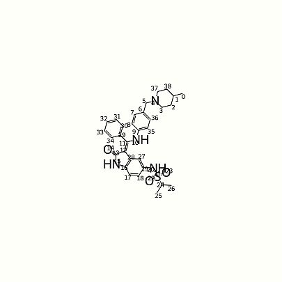 CC1CCN(Cc2ccc(NC(=C3C(=O)Nc4ccc(NS(=O)(=O)C(C)C)cc43)c3ccccc3)cc2)CC1